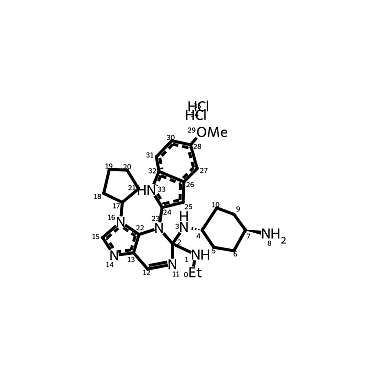 CCNC1(N[C@H]2CC[C@H](N)CC2)N=Cc2ncn(C3CCCC3)c2N1c1cc2cc(OC)ccc2[nH]1.Cl.Cl